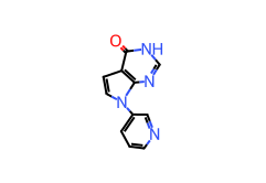 O=c1[nH]cnc2c1ccn2-c1cccnc1